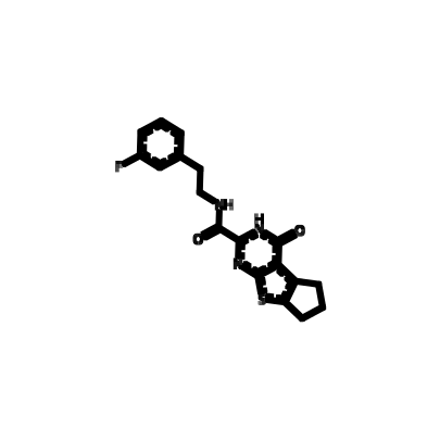 O=C(NCCc1cccc(F)c1)c1nc2sc3c(c2c(=O)[nH]1)CCC3